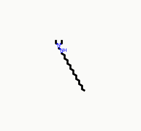 CCCCCCCCCCCCCCCCNCN(CC)CC